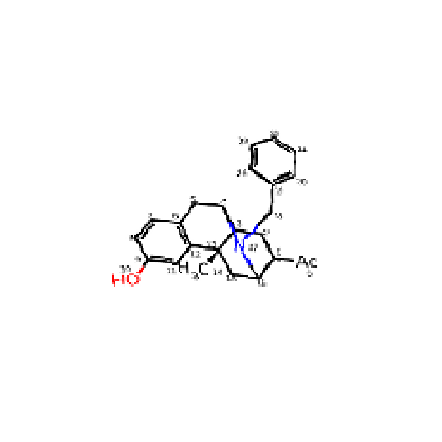 CC(=O)C1CC2C3Cc4ccc(O)cc4[C@@]2(C)CC1N3Cc1ccccc1